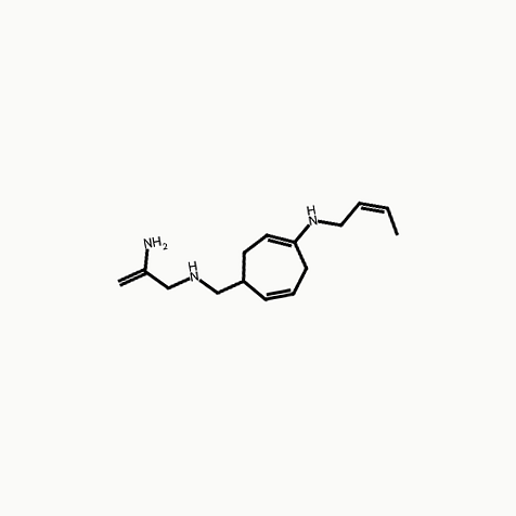 C=C(N)CNCC1C=CCC(NC/C=C\C)=CC1